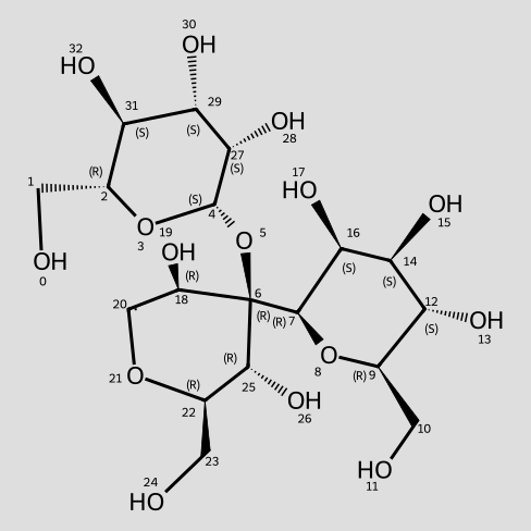 OC[C@H]1O[C@@H](O[C@]2([C@@H]3O[C@H](CO)[C@@H](O)[C@H](O)[C@@H]3O)[C@H](O)[CH]O[C@H](CO)[C@H]2O)[C@@H](O)[C@@H](O)[C@@H]1O